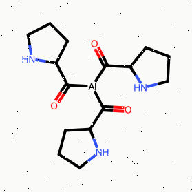 O=[C](C1CCCN1)[Al]([C](=O)C1CCCN1)[C](=O)C1CCCN1